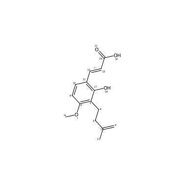 C=C(C)CCc1c(OC)ccc(/C=C/C(=O)O)c1O